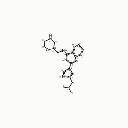 CC(C)Cn1cc(-c2cc3nccnc3c(NC[C@@H]3CNCCO3)n2)cn1